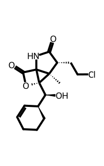 C[C@@]12[C@@H](CCCl)C(=O)NC13C(=O)O[C@]32[C@@H](O)[C@@H]1C=CCCC1